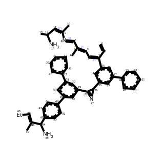 C=C\C(=C/C=C(C)/C=N/C(C)=C\C(C)N)c1cc(-c2ccccc2)cc(C2N=C2c2cc(-c3ccccc3)cc(-c3ccc(C(N)C(C)=CCC)cc3)c2)c1